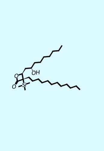 CCCCCCCCCCCC[C@@]1([Si](C)(C)C)C(=O)O[C@H]1C[C@@H](O)CCCCCCC